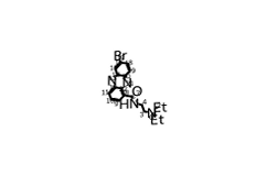 CCN(CC)CCNC(=O)c1cccc2nc3cc(Br)ccc3nc12